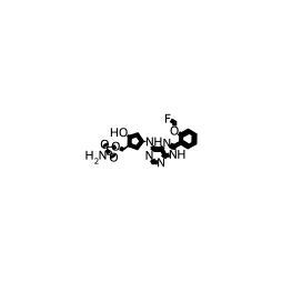 NS(=O)(=O)OC[C@@H]1C[C@@H](Nc2ncnc3[nH]c(-c4ccccc4OCF)nc23)C[C@@H]1O